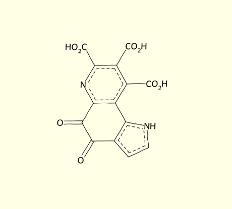 O=C1C(=O)c2nc(C(=O)O)c(C(=O)O)c(C(=O)O)c2-c2[nH]ccc21